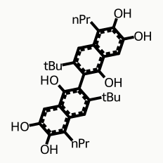 CCCc1c(O)c(O)cc2c(O)c(-c3c(C(C)(C)C)cc4c(CCC)c(O)c(O)cc4c3O)c(C(C)(C)C)cc12